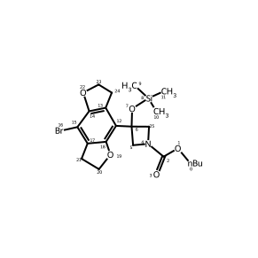 CCCCOC(=O)N1CC(O[Si](C)(C)C)(c2c3c(c(Br)c4c2OCC4)OCC3)C1